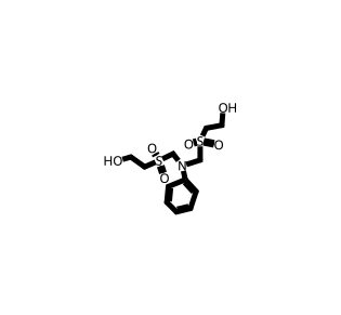 O=S(=O)(CCO)CN(CS(=O)(=O)CCO)c1ccccc1